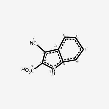 N#Cc1c(C(=O)O)[nH]c2ccccc12